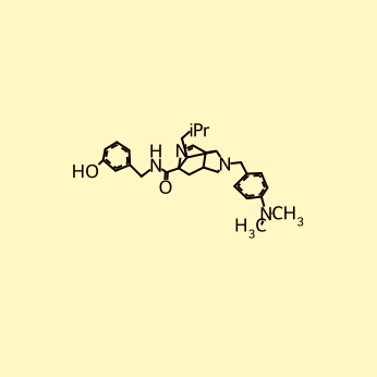 CC(C)CC1C2C3C=NC1(C(=O)NCc1cccc(O)c1)CC3CN2Cc1ccc(N(C)C)cc1